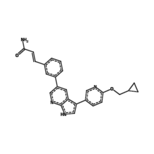 NC(=O)C=Cc1cccc(-c2cnc3[nH]cc(-c4ccc(OCC5CC5)nc4)c3c2)c1